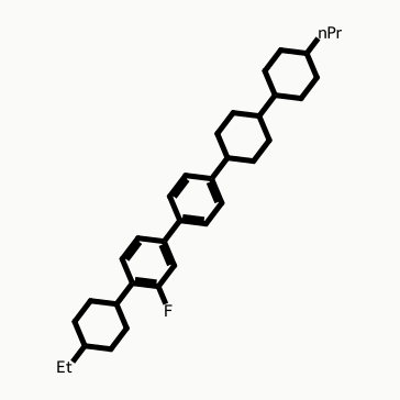 CCCC1CCC(C2CCC(c3ccc(-c4ccc(C5CCC(CC)CC5)c(F)c4)cc3)CC2)CC1